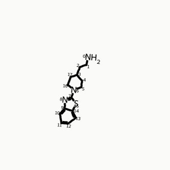 NCCC1CCN(c2nc3ccccc3s2)CC1